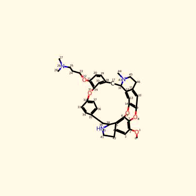 COc1cc2c3c4c1Oc1cc5c(cc1O4)C(Cc1ccc(OCCCN(C)C)c(c1)Oc1ccc(cc1)CC3NCC2)N(C)CC5